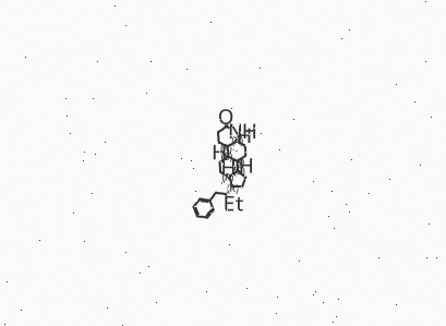 CCC(Cc1ccccc1)[C@H]1CC[C@H]2[C@@H]3CC[C@H]4NC(=O)CC[C@]4(C)[C@H]3CC[C@]12C